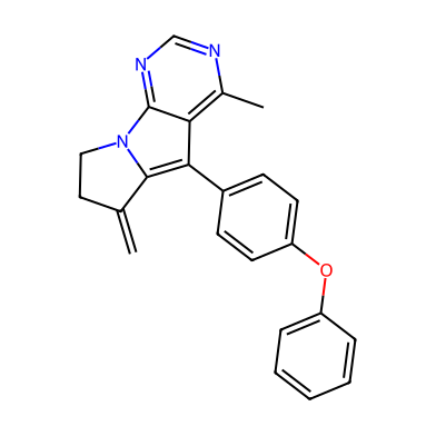 C=C1CCn2c1c(-c1ccc(Oc3ccccc3)cc1)c1c(C)ncnc12